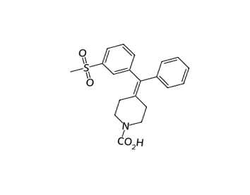 CS(=O)(=O)c1cccc(C(=C2CCN(C(=O)O)CC2)c2ccccc2)c1